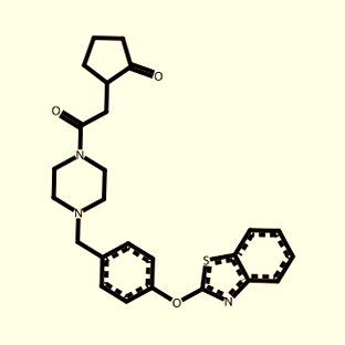 O=C1CCCC1CC(=O)N1CCN(Cc2ccc(Oc3nc4ccccc4s3)cc2)CC1